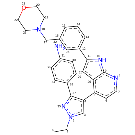 CCn1cc(-c2ccnc3[nH]c(-c4cccc(CN5CCOCC5)c4)cc23)c(-c2ccc(N)cc2)n1